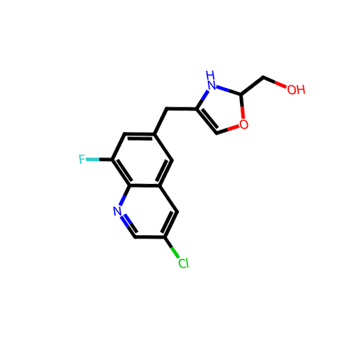 OCC1NC(Cc2cc(F)c3ncc(Cl)cc3c2)=CO1